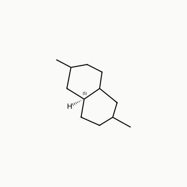 CC1CC[C@H]2CC(C)CCC2C1